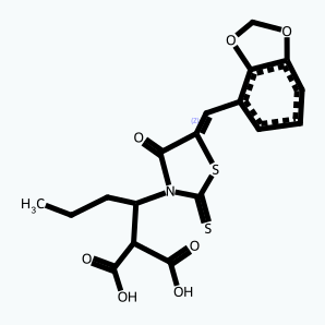 CCCC(C(C(=O)O)C(=O)O)N1C(=O)/C(=C/c2cccc3c2OCO3)SC1=S